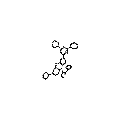 c1ccc(-c2cc(-c3ccc4c(c3)Oc3cc(-c5ccncc5)ccc3C43c4ccccc4-c4ccccc43)nc(-c3ccccc3)n2)cc1